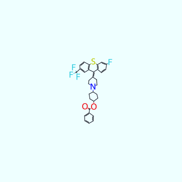 O=C(OC1CCC(N2CCC(=C3c4ccc(F)cc4Sc4ccc(C(F)(F)F)cc43)CC2)CC1)c1ccccc1